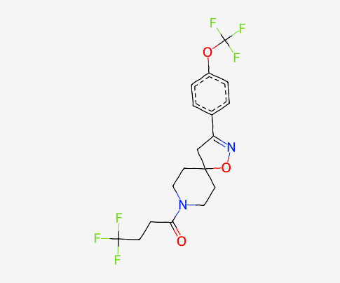 O=C(CCC(F)(F)F)N1CCC2(CC1)CC(c1ccc(OC(F)(F)F)cc1)=NO2